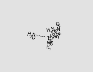 CC(=O)N1CC[C@H]2CC[C@@H](C(=O)N[C@@H](CCC(N)=O)C(=O)NCCCCCCCC(N)=O)N2C(=O)[C@@H](N)C1